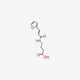 O=C(O)CCCNC(=O)C=Cc1ccco1